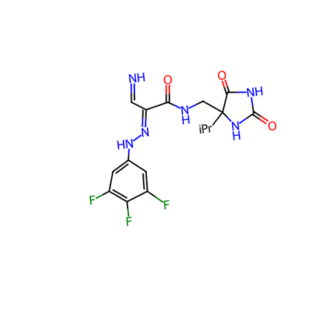 CC(C)C1(CNC(=O)/C(C=N)=N/Nc2cc(F)c(F)c(F)c2)NC(=O)NC1=O